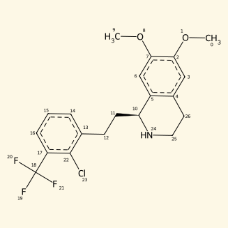 COc1cc2c(cc1OC)[C@H](CCc1cccc(C(F)(F)F)c1Cl)NCC2